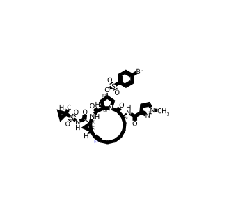 Cn1ccc(C(=O)N[C@H]2CCCCC/C=C\[C@@H]3C[C@@]3(C(=O)NS(=O)(=O)C3(C)CC3)NC(=O)[C@@H]3C[C@H](OS(=O)(=O)c4ccc(Br)cc4)CN3C2=O)n1